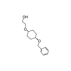 OCCO[C@H]1CC[C@@H](OCc2ccccc2)CC1